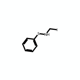 ICNSc1ccccc1